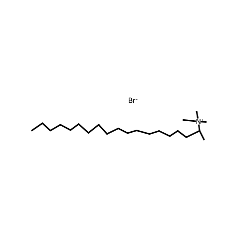 CCCCCCCCCCCCCCCCCC(C)[N+](C)(C)C.[Br-]